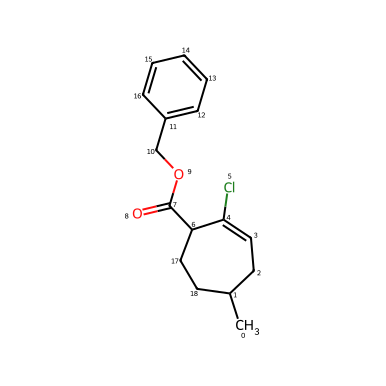 CC1CC=C(Cl)C(C(=O)OCc2ccccc2)CC1